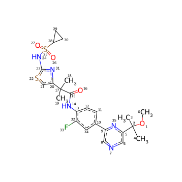 COC(C)(C)c1cncc(-c2ccc(NC(=O)C(C)(C)c3csc(NS(=O)(=O)C4CC4)n3)c(F)c2)n1